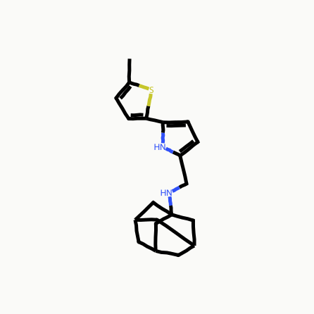 Cc1ccc(-c2ccc(CNC34CC5CC(CC(C5)C3)C4)[nH]2)s1